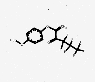 C=C(Oc1ccc(OC)cc1)C(=O)C(F)(F)C(F)(F)C(F)(F)F